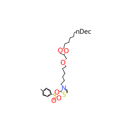 CCCCCCCCCCCCCCCC1OCC(COCCCCCCN2C=CSC2OS(=O)(=O)c2ccc(C)cc2)O1